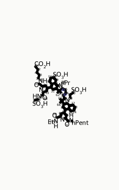 CCCCCNC(=O)c1cc(-c2cc3c(c4ccccc24)[N+](CCCS(=O)(=O)O)=C(/C=C/C=C2/N(CCC)c4c(cc(-c5cc(C(=O)NCCCCCC(=O)O)nc(C(=O)NCCS(=O)(=O)O)c5)c5ccc(S(=O)(=O)O)cc45)C2(C)C)C3(C)C)cc(C(=O)NCC)n1